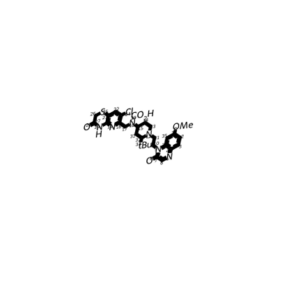 COc1ccc2ncc(=O)n(CCN3CCC(N(Cc4nc5c(cc4Cl)SCC(=O)N5)C(=O)O)CC3C(C)(C)C)c2c1